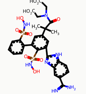 CC(C)(C(=O)N(CC(=O)O)CC(=O)O)c1cc(-c2nc3cc(C(=N)N)ccc3[nH]2)c(S(=O)(=O)NO)c(-c2ccccc2S(=O)(=O)NO)c1